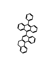 c1ccc(-c2c3ccccc3c(-c3cc4c(c5ccccc35)-c3ccccc3CC4)c3ccccc23)cc1